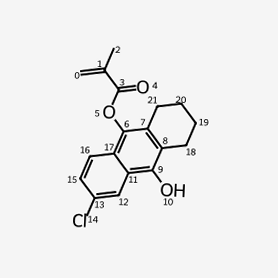 C=C(C)C(=O)Oc1c2c(c(O)c3cc(Cl)ccc13)CCCC2